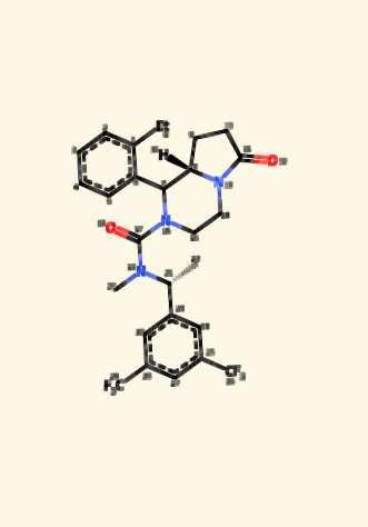 CCc1ccccc1C1[C@@H]2CCC(=O)N2CCN1C(=O)N(C)[C@H](C)c1cc(C(F)(F)F)cc(C(F)(F)F)c1